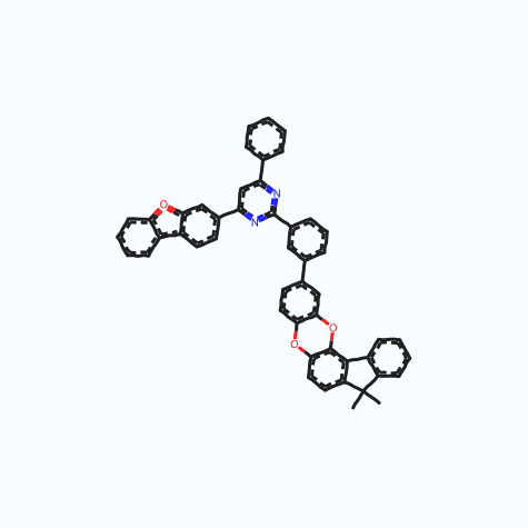 CC1(C)c2ccccc2-c2c1ccc1c2Oc2cc(-c3cccc(-c4nc(-c5ccccc5)cc(-c5ccc6c(c5)oc5ccccc56)n4)c3)ccc2O1